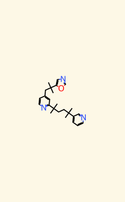 CC(C)(CCC(C)(C)c1cc(CC(C)(C)c2cnco2)ccn1)c1cccnc1